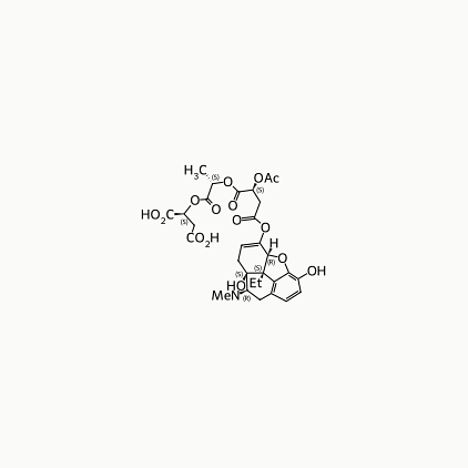 CC[C@]12c3c4ccc(O)c3O[C@H]1C(OC(=O)C[C@H](OC(C)=O)C(=O)O[C@@H](C)C(=O)O[C@@H](CC(=O)O)C(=O)O)=CC[C@@]2(O)[C@H](NC)C4